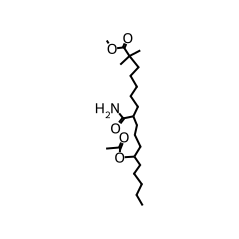 CCCCCC(CCCC(CCCCCC(C)(C)C(=O)OC)C(N)=O)OC(C)=O